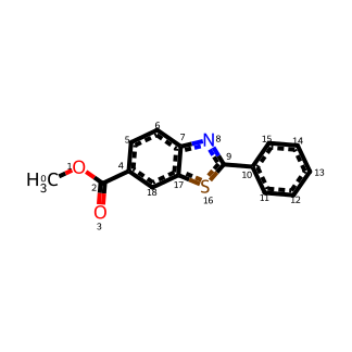 COC(=O)c1ccc2nc(-c3ccccc3)sc2c1